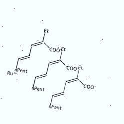 CCCCCC=CC=C(CC)C(=O)[O-].CCCCCC=CC=C(CC)C(=O)[O-].CCCCCC=CC=C(CC)C(=O)[O-].[Ru+3]